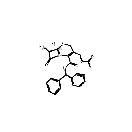 CC(=O)OCC1=C(C(=O)OC(c2ccccc2)c2ccccc2)N2C(=O)C(N)[C@H]2SC1